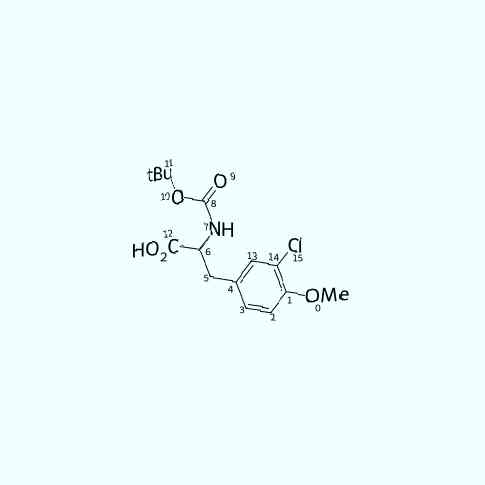 COc1ccc(CC(NC(=O)OC(C)(C)C)C(=O)O)cc1Cl